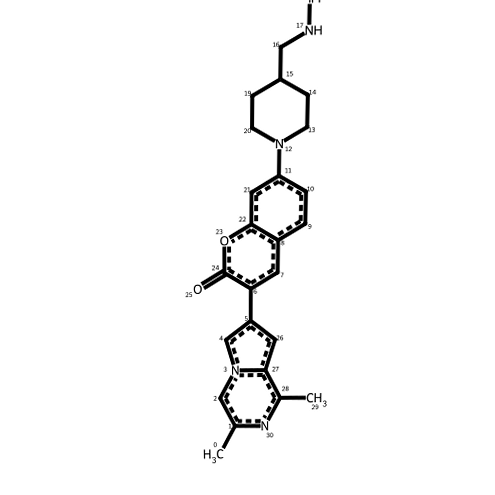 Cc1cn2cc(-c3cc4ccc(N5CCC(CNC(C)C)CC5)cc4oc3=O)cc2c(C)n1